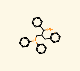 PC(c1ccccc1)C(Cc1ccccc1)CP(c1ccccc1)c1ccccc1